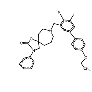 CCOc1ccc(-c2cc(F)c(F)c(CN3CCCC4(CC3)CN(c3ccccc3)C(=O)O4)c2)cc1